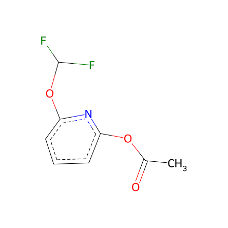 CC(=O)Oc1cccc(OC(F)F)n1